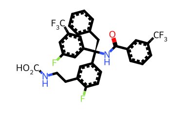 O=C(O)NCCc1cc([C@@](Cc2ccccc2)(NC(=O)c2cccc(C(F)(F)F)c2)c2cc(F)cc(C(F)(F)F)c2)ccc1F